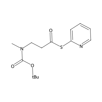 CN(CCC(=O)Sc1ccccn1)C(=O)OC(C)(C)C